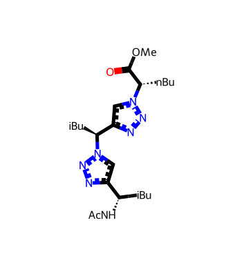 CCCC[C@@H](C(=O)OC)n1cc([C@H](C(C)CC)n2cc([C@@H](NC(C)=O)C(C)CC)nn2)nn1